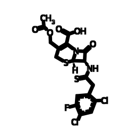 CC(=O)OCC1=C(C(=O)O)N2C(=O)[C@@H](NC(=S)Cc3cc(F)c(Cl)cc3Cl)[C@H]2SC1